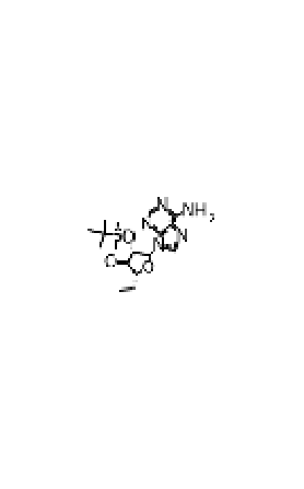 CC[C@H]1O[C@@H](n2cnc3c(N)ncnc32)[C@@H](O[Si](C)(C)C(C)(C)C)C1=O